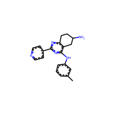 Cc1cccc(Nc2nc(-c3ccncc3)nc3c2CC(N)CC3)c1